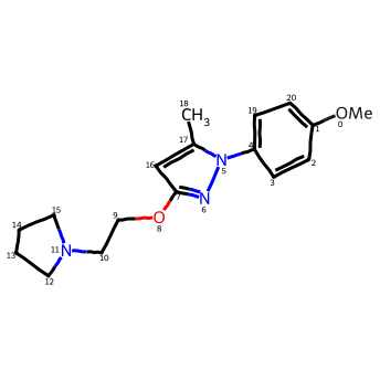 COc1ccc(-n2nc(OCCN3CCCC3)cc2C)cc1